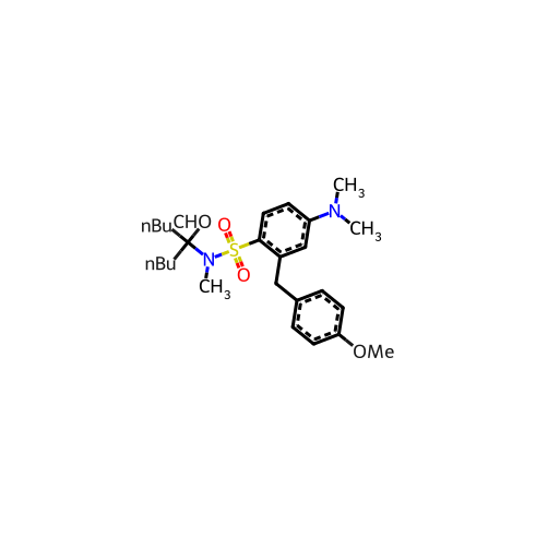 CCCCC(C=O)(CCCC)N(C)S(=O)(=O)c1ccc(N(C)C)cc1Cc1ccc(OC)cc1